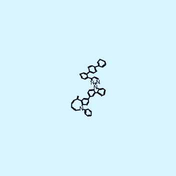 C=C1/C=C\C=C/CN(c2ccccc2)c2ccc(-c3ccc4c(c3)c3ccccc3n4-c3nccc(-c4ccccc4-c4ccc(-c5ccccc5)cc4)n3)cc21